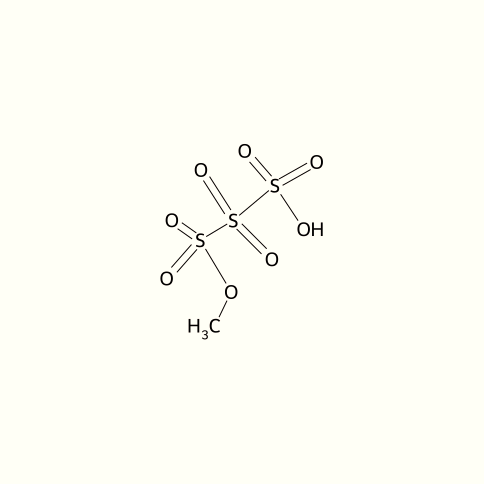 COS(=O)(=O)S(=O)(=O)S(=O)(=O)O